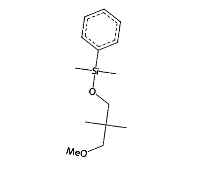 COCC(C)(C)CO[Si](C)(C)c1ccccc1